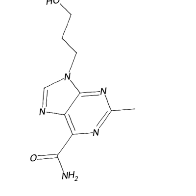 Cc1nc(C(N)=O)c2ncn(CCCO)c2n1